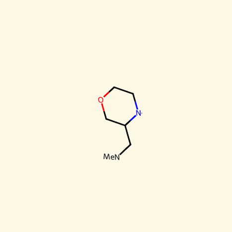 CNCC1COCC[N]1